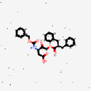 O=C(O)CC(NC(=O)OCc1ccccc1)C(=O)COC(=O)C(Cc1ccccc1)Cc1ccccc1